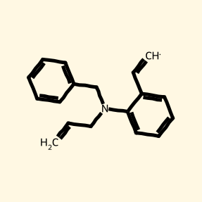 [CH]=Cc1ccccc1N(CC=C)Cc1ccccc1